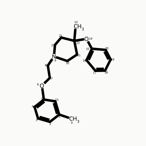 Cc1cccc(OCCN2CCC(C)(Oc3ccccc3)CC2)c1